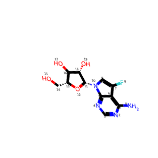 Nc1ncnc2c1c(F)cn2[C@@H]1O[C@H](CO)C(O)[C@@H]1O